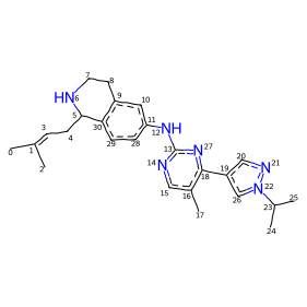 CC(C)=CCC1NCCc2cc(Nc3ncc(C)c(-c4cnn(C(C)C)c4)n3)ccc21